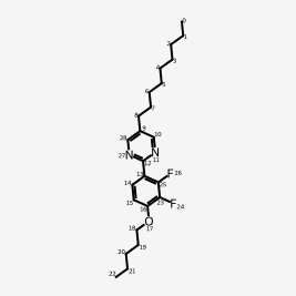 CCCCCCCCCc1cnc(-c2ccc(OCCCCC)c(F)c2F)nc1